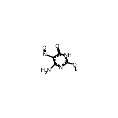 COc1nc(N)c(N=O)c(=O)[nH]1